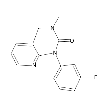 CN1Cc2cccnc2N(c2cccc(F)c2)C1=O